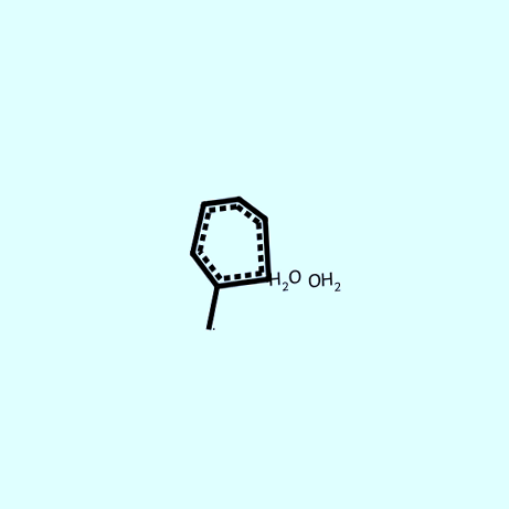 O.O.[CH2]c1ccccc1